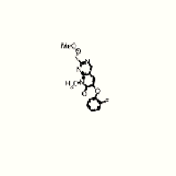 COOSc1ncc2cc(Oc3ccccc3F)c(=O)n(C)c2n1